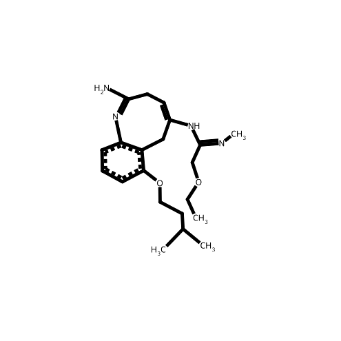 CCOC/C(=N/C)N/C1=C/C/C(N)=N\c2cccc(OCCC(C)C)c2C1